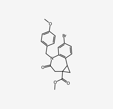 COC(=O)C12CC(=O)N(Cc3ccc(OC)cc3)c3cc(Br)ccc3C1C2